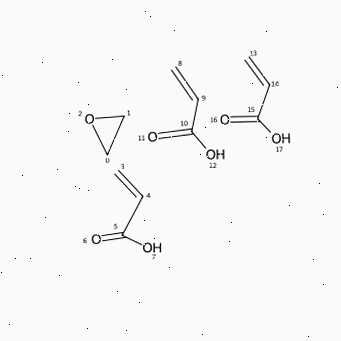 C1CO1.C=CC(=O)O.C=CC(=O)O.C=CC(=O)O